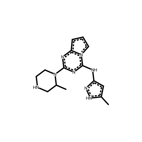 Cc1cc(Nc2nc(N3CCNCC3C)nc3cccn23)n[nH]1